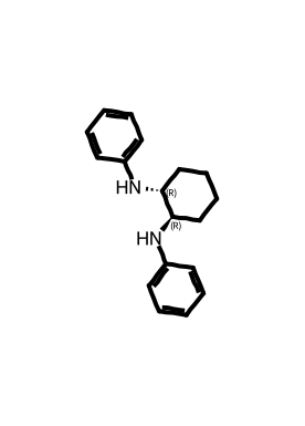 c1ccc(N[C@@H]2CCCC[C@H]2Nc2ccccc2)cc1